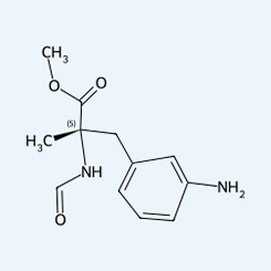 COC(=O)[C@](C)(Cc1cccc(N)c1)NC=O